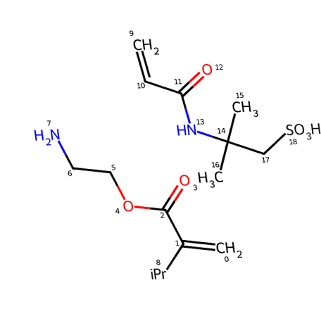 C=C(C(=O)OCCN)C(C)C.C=CC(=O)NC(C)(C)CS(=O)(=O)O